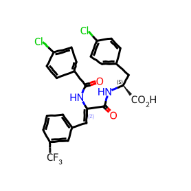 O=C(N[C@@H](Cc1ccc(Cl)cc1)C(=O)O)/C(=C/c1cccc(C(F)(F)F)c1)NC(=O)c1ccc(Cl)cc1